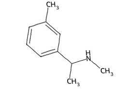 CNC(C)c1cccc(C)c1